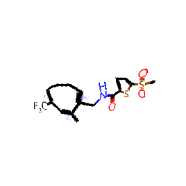 CC1=C/C(C(F)(F)F)=C\CC/C=C\1CNC(=O)c1ccc(S(C)(=O)=O)s1